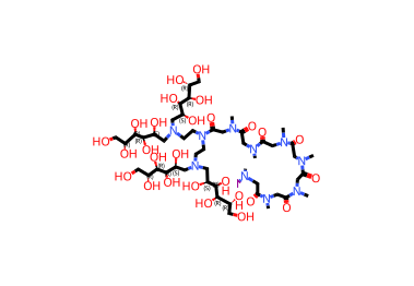 CN(I)CC(=O)N(C)CC(=O)N(C)CC(=O)N(C)CC(=O)N(C)CC(=O)N(C)CC(=O)N(C)CC(=O)N(CCN(C[C@H](O)[C@@H](O)[C@H](O)[C@H](O)CO)C[C@H](O)[C@@H](O)[C@H](O)[C@H](O)CO)CCN(C[C@H](O)[C@@H](O)[C@H](O)[C@H](O)CO)C[C@H](O)[C@@H](O)[C@H](O)[C@H](O)CO